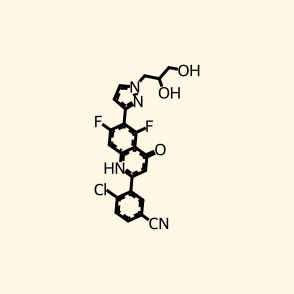 N#Cc1ccc(Cl)c(-c2cc(=O)c3c(F)c(-c4ccn(CC(O)CO)n4)c(F)cc3[nH]2)c1